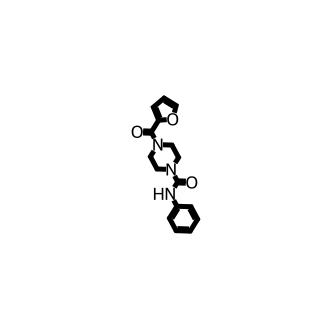 O=C(Nc1ccccc1)N1CCN(C(=O)c2ccco2)CC1